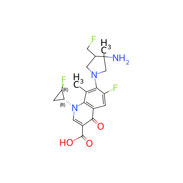 Cc1c(N2CC(CF)C(C)(N)C2)c(F)cc2c(=O)c(C(=O)O)cn([C@@H]3C[C@H]3F)c12